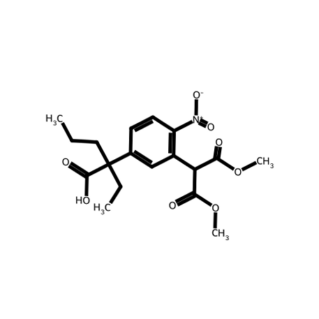 CCCC(CC)(C(=O)O)c1ccc([N+](=O)[O-])c(C(C(=O)OC)C(=O)OC)c1